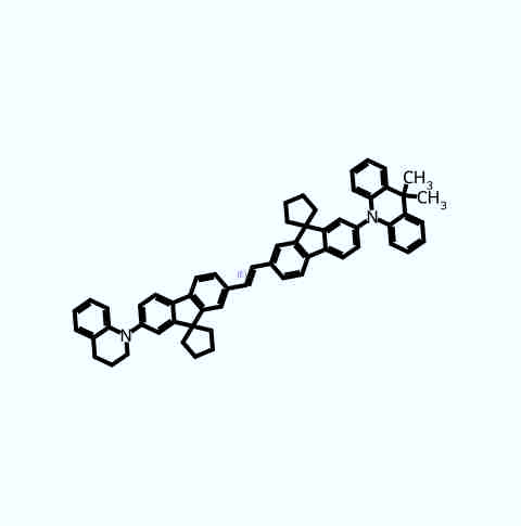 CC1(C)c2ccccc2N(c2ccc3c(c2)C2(CCCC2)c2cc(/C=C/c4ccc5c(c4)C4(CCCC4)c4cc(N6CCCc7ccccc76)ccc4-5)ccc2-3)c2ccccc21